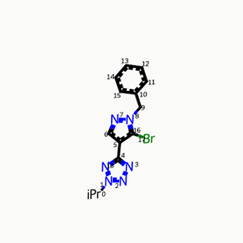 CC(C)n1nnc(-c2cnn(Cc3ccccc3)c2Br)n1